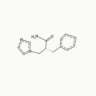 NC(=O)[C@H](Cc1ccccc1)Cn1ccnc1